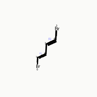 Br/C=C/C=C/Br